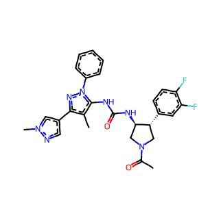 CC(=O)N1C[C@@H](NC(=O)Nc2c(C)c(-c3cnn(C)c3)nn2-c2ccccc2)[C@H](c2ccc(F)c(F)c2)C1